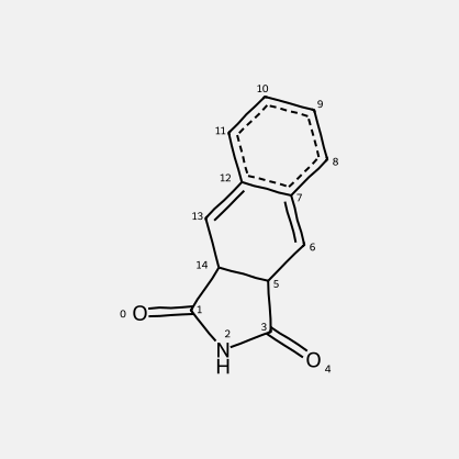 O=C1NC(=O)C2C=c3ccccc3=CC12